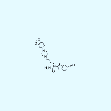 C#Cc1ccc2cc(N(CCCCN3CCN(c4ccc5c(c4)OCO5)CC3)C(N)=O)sc2c1